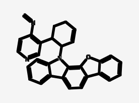 C=Nc1ccncc1C1CCC=CC1n1c2ccccc2c2ccc3c4ccccc4oc3c21